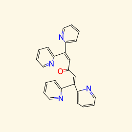 O=C(C=C(c1ccccn1)c1ccccn1)C=C(c1ccccn1)c1ccccn1